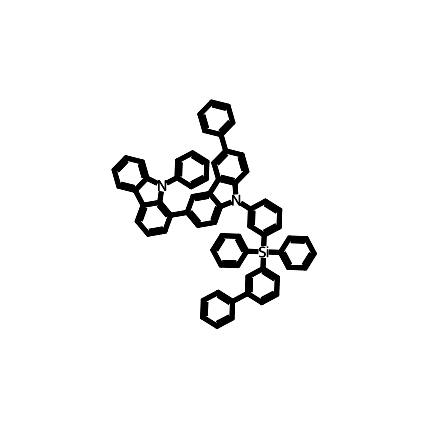 c1ccc(-c2cccc([Si](c3ccccc3)(c3ccccc3)c3cccc(-n4c5ccc(-c6ccccc6)cc5c5cc(-c6cccc7c8ccccc8n(-c8ccccc8)c67)ccc54)c3)c2)cc1